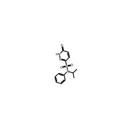 CC(C)N(c1ccccc1)S(=O)(=O)c1ccc(=O)[nH]n1